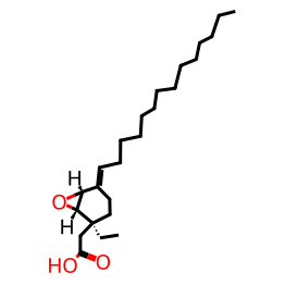 CCCCCCCCCCCCCC=C1CC[C@@](CC)(CC(=O)O)[C@@H]2O[C@H]12